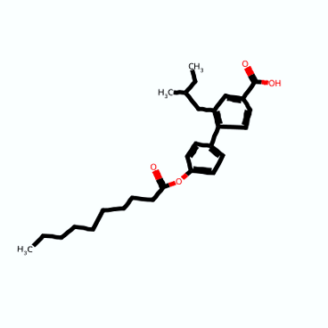 CCCCCCCCCC(=O)Oc1ccc(-c2ccc(C(=O)O)cc2CC(C)CC)cc1